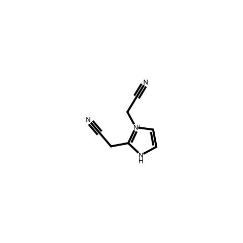 N#CCc1[nH]cc[n+]1CC#N